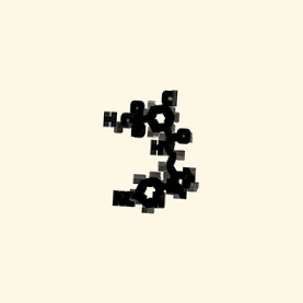 CS(=O)(=O)c1cc(Cl)cc(C(=O)NCCc2ncnn2-c2ccc(C#N)cn2)c1